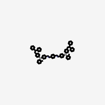 Cc1ccccc1N(c1ccc(C=C(c2ccccc2)c2ccccc2)cc1)c1ccc(/C=C/c2ccc(/C=C/c3ccc(N(c4ccc(CC(c5ccccc5)c5ccccc5)cc4)c4ccccc4C)cc3)cc2)cc1